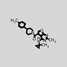 Cc1ccc(C2CCN(C(=O)c3coc4nc(C)nc(NC5(C)CC5)c34)CC2)cc1